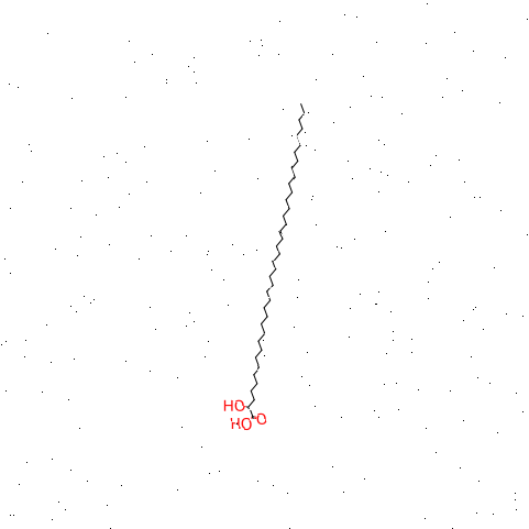 CCCCCCCCCCCCCCCCCCCCCCCCCCCCCCCCCCCCCCC(O)C(=O)O